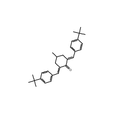 CC1C/C(=C\c2ccc(C(C)(C)C)cc2)C(=O)/C(=C/c2ccc(C(C)(C)C)cc2)C1